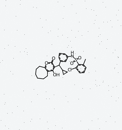 Cc1cccc(Cl)c1S(=O)(=O)Nc1cccc(C(c2c(O)c3c(oc2=O)CCCCCC3)C2CC2)c1